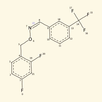 Fc1ccc(CO/N=[C]\c2cccc(C(F)(F)F)c2)c(F)c1